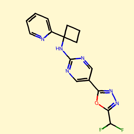 FC(F)c1nnc(-c2cnc(NC3(c4ccccn4)CCC3)nc2)o1